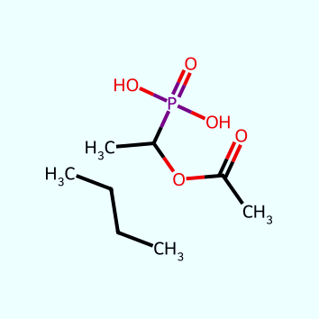 CC(=O)OC(C)P(=O)(O)O.CCCC